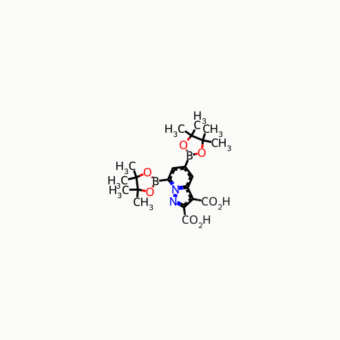 CC1(C)OB(c2cc(B3OC(C)(C)C(C)(C)O3)n3nc(C(=O)O)c(C(=O)O)c3c2)OC1(C)C